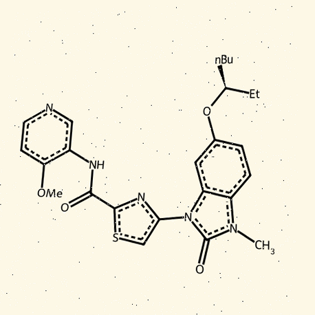 CCCC[C@@H](CC)Oc1ccc2c(c1)n(-c1csc(C(=O)Nc3cnccc3OC)n1)c(=O)n2C